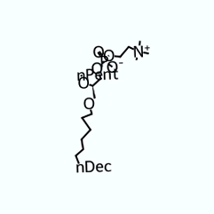 CCCCCCCCCCCCCCCCOC[C@H](COP(=O)([O-])OCC[N+](C)(C)C)OCCCCC